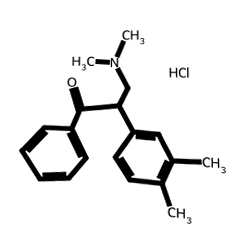 Cc1ccc(C(CN(C)C)C(=O)c2ccccc2)cc1C.Cl